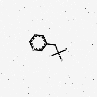 FC(F)(F)Cc1[c]nccc1